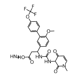 COc1ccc(C(CC(=O)O)NC(=O)NC2C(=O)C=CN(C)C2=O)cc1-c1ccc(OC(F)(F)F)cc1.[NaH]